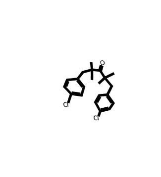 CC(C)(Cc1ccc(Cl)cc1)C(=O)C(C)(C)Cc1ccc(Cl)cc1